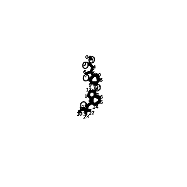 COC(=O)CC1COc2cc(O[C@@H]3CCc4c(C5OC(C)C5(C)C)cccc43)ccc21